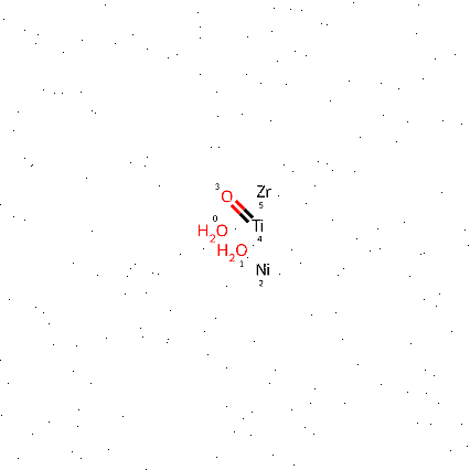 O.O.[Ni].[O]=[Ti].[Zr]